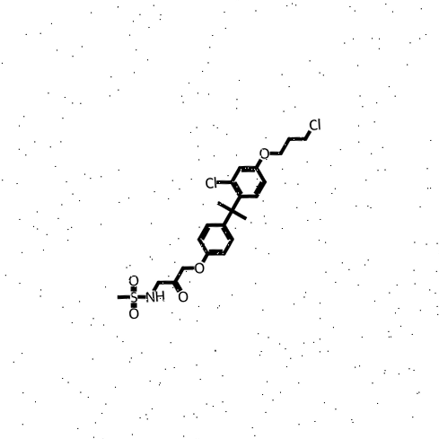 CC(C)(c1ccc(OCC(=O)CNS(C)(=O)=O)cc1)c1ccc(OCCCCl)cc1Cl